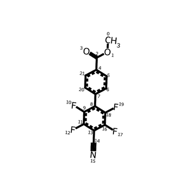 COC(=O)c1ccc(-c2c(F)c(F)c(C#N)c(F)c2F)cc1